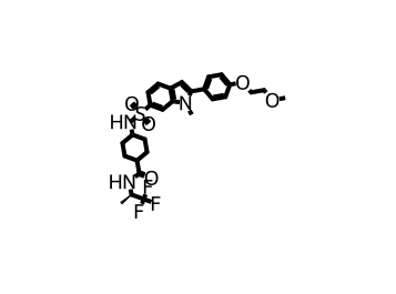 COCCOc1ccc(-c2cc3ccc(S(=O)(=O)NC4CCC(C(=O)N[C@H](C)C(F)(F)F)CC4)cc3n2C)cc1